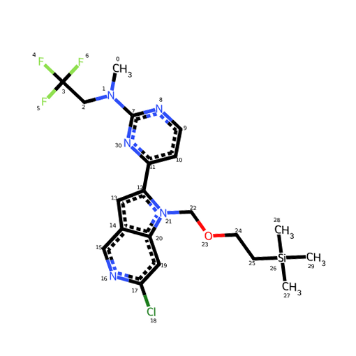 CN(CC(F)(F)F)c1nccc(-c2cc3cnc(Cl)cc3n2COCC[Si](C)(C)C)n1